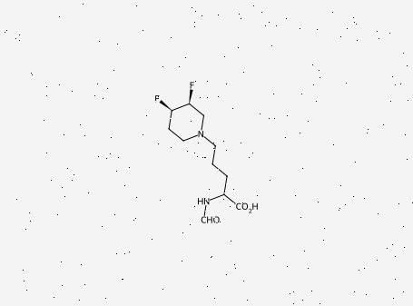 O=CNC(CCCN1CC[C@@H](F)[C@@H](F)C1)C(=O)O